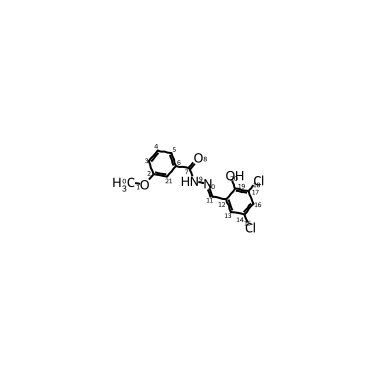 COc1cccc(C(=O)N/N=C/c2cc(Cl)cc(Cl)c2O)c1